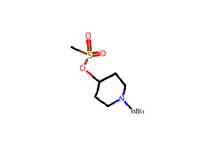 CCCCN1CCC(OS(C)(=O)=O)CC1